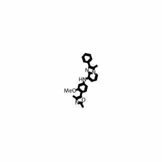 COc1cc(Nc2cccn3c(C)c(-c4ccccc4)nc23)ccc1-c1oc(C)nc1C